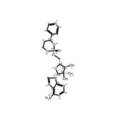 C[C@@]1(O)[C@H](O)[C@@H](CO[P@@]2(=O)OCC[C@@H](c3ccncc3)O2)O[C@H]1n1cnc2c(N)ncnc21